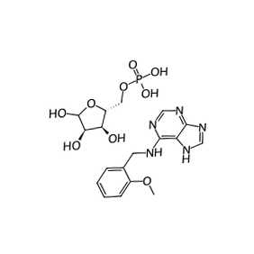 COc1ccccc1CNc1ncnc2nc[nH]c12.O=P(O)(O)OC[C@H]1OC(O)[C@H](O)[C@@H]1O